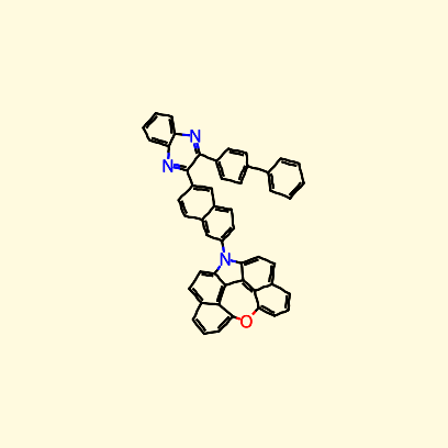 c1ccc(-c2ccc(-c3nc4ccccc4nc3-c3ccc4cc(-n5c6ccc7cccc8oc9cccc%10ccc5c(c%109)c6c78)ccc4c3)cc2)cc1